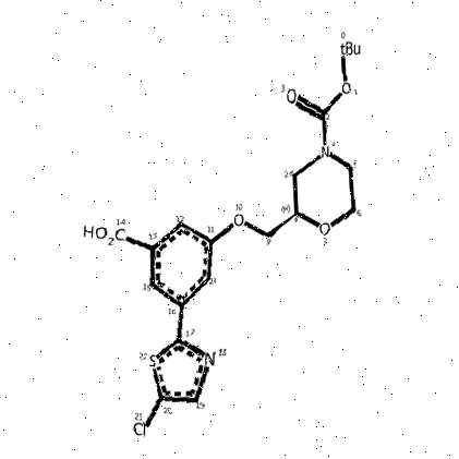 CC(C)(C)OC(=O)N1CCO[C@@H](COc2cc(C(=O)O)cc(-c3ncc(Cl)s3)c2)C1